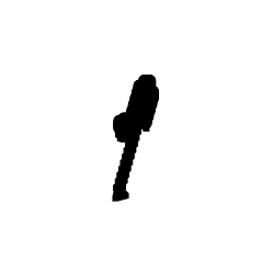 Cc1ccc(S(=O)(=O)O)cc1.O=CC(=O)C(=O)C(=O)C(=O)C(=O)C(=O)C(=O)C(=O)C(=O)C(=O)C(=O)CCCCCCCCCCCCCCCCCCCCCCC1CC1